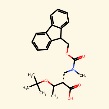 CC(OC(C)(C)C)[C@H](CN(C)C(=O)OCC1c2ccccc2-c2ccccc21)C(=O)O